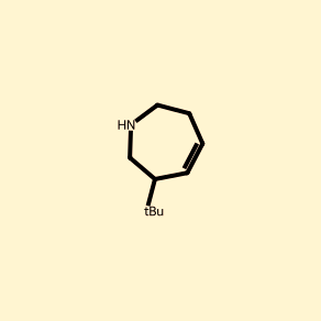 CC(C)(C)C1C=CCCNC1